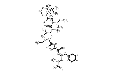 CCO[C@H](C[C@H](C(C)C)N(C)C(=O)[C@@H](NC(=O)[C@H]1CCCC[N+]1(C)C(C)(C)C)[C@@H](C)CC)c1nc(C(=O)N[C@@H](Cc2ccccc2)C[C@H](C)C(=O)O)cs1